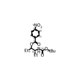 CCC(OC(=O)c1ccc([N+](=O)[O-])cc1)[C@H](CC)NC(=O)OC(C)(C)C